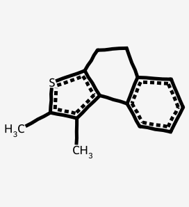 Cc1sc2c(c1C)-c1ccccc1CC2